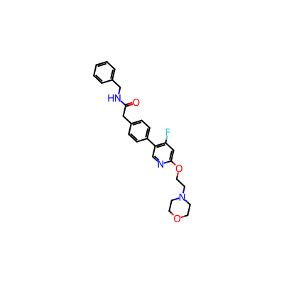 O=C(Cc1ccc(-c2cnc(OCCN3CCOCC3)cc2F)cc1)NCc1ccccc1